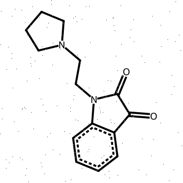 O=C1C(=O)N(CCN2CCCC2)c2ccccc21